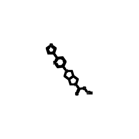 CC(C)(C)OC(=O)N1CC2CN(c3ccc(-c4ccoc4)nc3)CC2C1